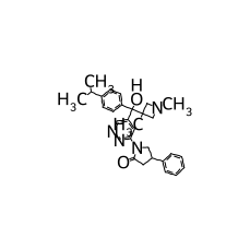 CC(C)c1ccc(C(O)(c2cnnc(N3CC(c4ccccc4)CC3=O)c2)C2(C)CN(C)C2)cc1